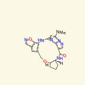 CNc1cc2nc3c(cnn13)C(=O)N[C@@H]1CCC[C@H]1OCc1cc(c3oncc3c1)N2